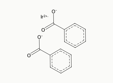 O=C([O-])c1ccccc1.O=C([O-])c1ccccc1.[Ir+2]